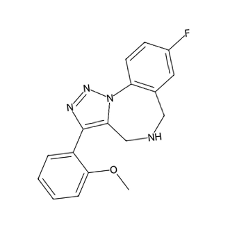 COc1ccccc1-c1nnn2c1CNCc1cc(F)ccc1-2